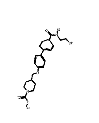 CCN(CCO)C(=O)C1CC=C(c2ccc(OCC3CCN(C(=O)OC(C)(C)C)CC3)cc2)CC1